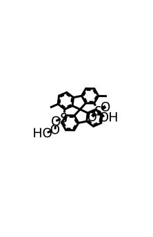 Cc1ccc2c(c1SOOO)C1(c3ccccc3-c3ccccc31)c1c-2ccc(C)c1S(=O)(=O)O